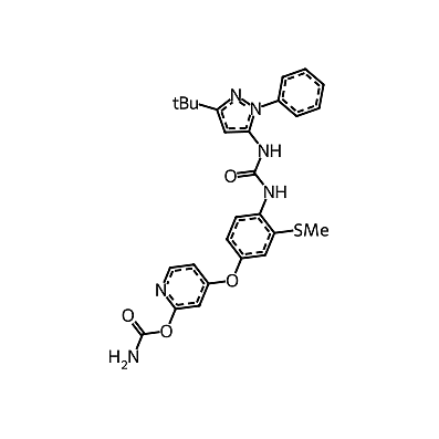 CSc1cc(Oc2ccnc(OC(N)=O)c2)ccc1NC(=O)Nc1cc(C(C)(C)C)nn1-c1ccccc1